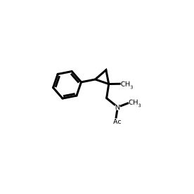 CC(=O)N(C)CC1(C)CC1c1ccccc1